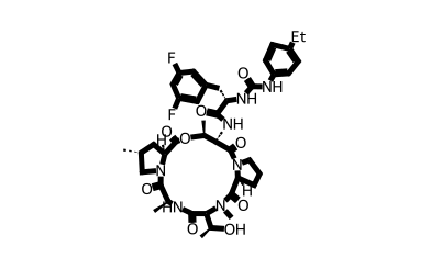 CCc1ccc(NC(=O)N[C@@H](Cc2cc(F)cc(F)c2)C(=O)N[C@@H]2C(=O)N3CCC[C@H]3C(=O)N(C)C([C@H](C)O)C(=O)N[C@@H](C)C(=O)N3C[C@H](C)C[C@H]3C(=O)O[C@H]2C)cc1